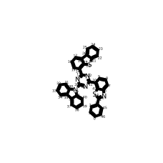 c1ccc(-c2nc3cccc(-c4nc(-c5cccc6c5sc5ccccc56)nc(-n5c6ccccc6c6ccccc65)n4)c3s2)cc1